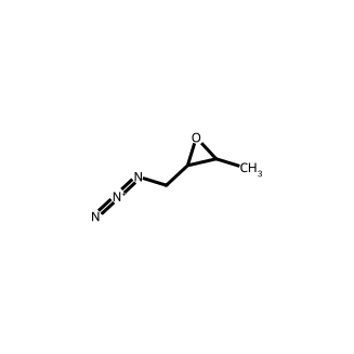 CC1OC1CN=[N+]=[N-]